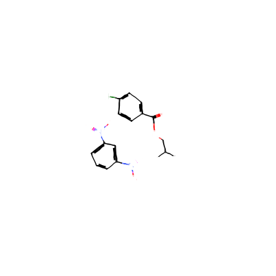 CC(C)COC(=O)c1ccc(Cl)cc1.O=[N+]([O-])c1cccc([N+](=O)[O-])c1